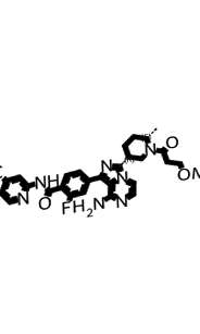 COCCC(=O)N1C[C@H](c2nc(-c3ccc(C(=O)Nc4cc(C(F)(F)F)ccn4)c(F)c3)c3c(N)nccn23)CC[C@@H]1C